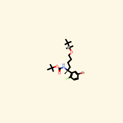 CC(C)(C)OC(=O)N[C@](C)([CH]CCCO[Si](C)(C)C(C)(C)C)c1cc(Br)ccc1F